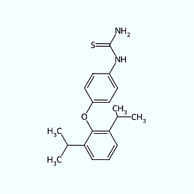 CC(C)c1cccc(C(C)C)c1Oc1ccc(NC(N)=S)cc1